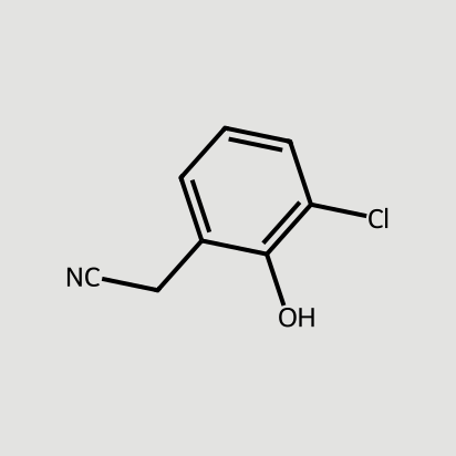 N#CCc1cccc(Cl)c1O